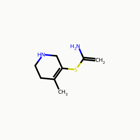 C=C(N)SC1=C(C)CCNC1